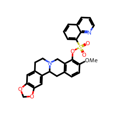 COc1ccc2c(c1OS(=O)(=O)c1cccc3cccnc13)CN1CCc3cc4c(cc3C1C2)OCO4